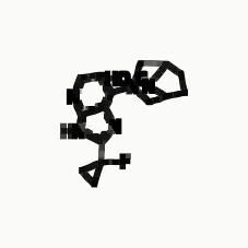 O=C(O)N1C2CCC1CN(c1ccnc3[nH]c(C4(F)CC4)nc13)C2